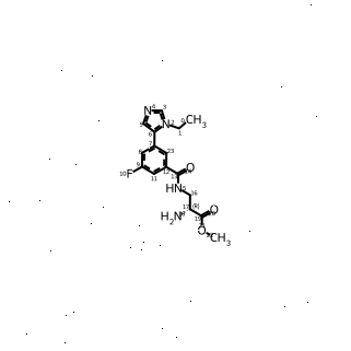 CCn1cncc1-c1cc(F)cc(C(=O)NC[C@@H](N)C(=O)OC)c1